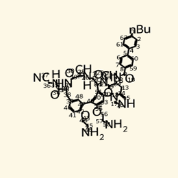 CCCCc1ccc(-c2ccc(C(=O)N[C@@H](Cc3c[nH]cn3)C(=O)N(C)[C@@H]3C(=O)N[C@@H](C)C(=O)N[C@H](C(=O)NCC#N)Cc4ccc(OCCN)c(c4)-c4cc3ccc4OCCN)cc2)cc1